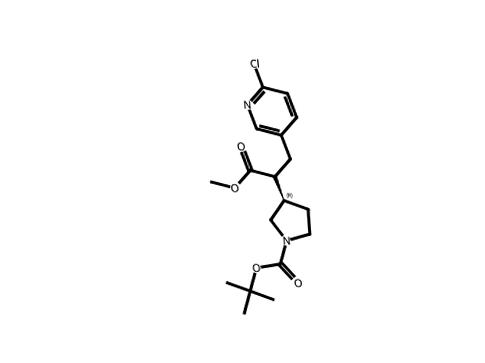 COC(=O)C(Cc1ccc(Cl)nc1)[C@H]1CCN(C(=O)OC(C)(C)C)C1